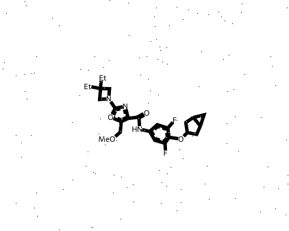 CCC1(CC)CN(c2nc(C(=O)Nc3cc(F)c(OC4CC5CC5C4)c(F)c3)c(COC)o2)C1